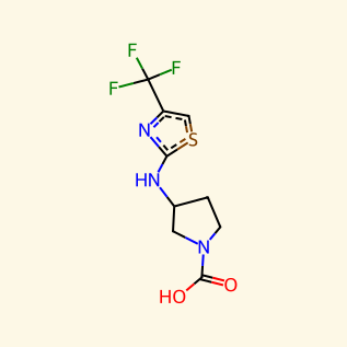 O=C(O)N1CCC(Nc2nc(C(F)(F)F)cs2)C1